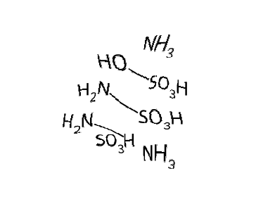 N.N.NS(=O)(=O)O.NS(=O)(=O)O.O=S(=O)(O)O